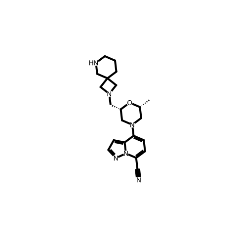 C[C@@H]1CN(c2ccc(C#N)n3nccc23)C[C@H](CN2CC3(CCCNC3)C2)O1